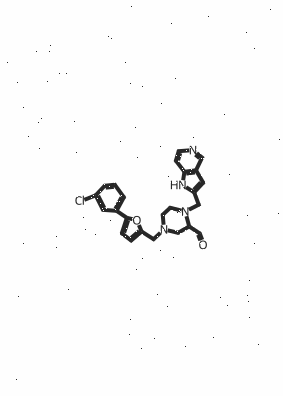 O=CC1CN(Cc2ccc(-c3cccc(Cl)c3)o2)CCN1Cc1cc2cnccc2[nH]1